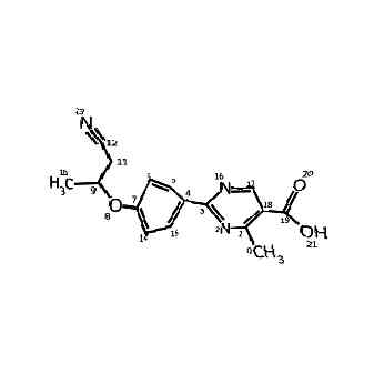 Cc1nc(-c2ccc(OC(C)CC#N)cc2)ncc1C(=O)O